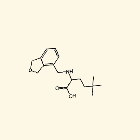 CC(C)(C)CCC(NCc1cccc2c1COC2)C(=O)O